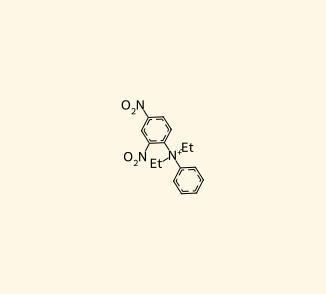 CC[N+](CC)(c1ccccc1)c1ccc([N+](=O)[O-])cc1[N+](=O)[O-]